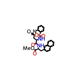 C=CCC(NS(=O)(=O)c1ccccc1[N+](=O)[O-])C(=O)NC(Cc1ccc2ccccc2c1)C(=O)OC